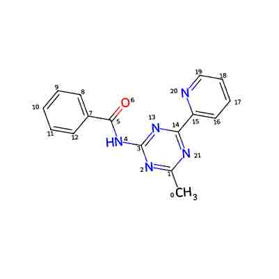 Cc1nc(NC(=O)c2ccccc2)nc(-c2ccccn2)n1